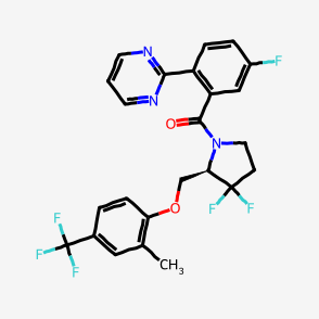 Cc1cc(C(F)(F)F)ccc1OC[C@H]1N(C(=O)c2cc(F)ccc2-c2ncccn2)CCC1(F)F